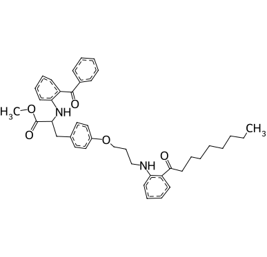 CCCCCCCCC(=O)c1ccccc1NCCCOc1ccc(CC(Nc2ccccc2C(=O)c2ccccc2)C(=O)OC)cc1